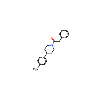 Cc1ccc(C2CCN(C(=O)Cc3ccccc3)CC2)cc1